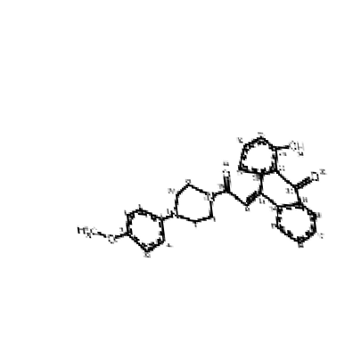 COc1ccc(N2CCN(C(=O)C=C3c4ccccc4C(=O)c4c(O)cccc43)CC2)cc1